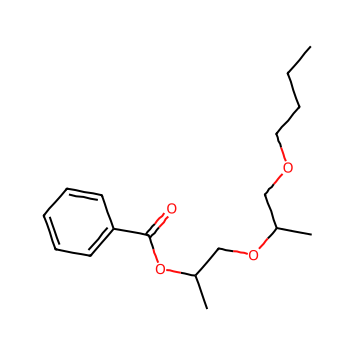 CCCCOCC(C)OCC(C)OC(=O)c1ccccc1